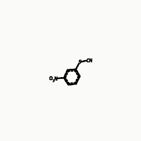 N#CSc1cccc([N+](=O)[O-])c1